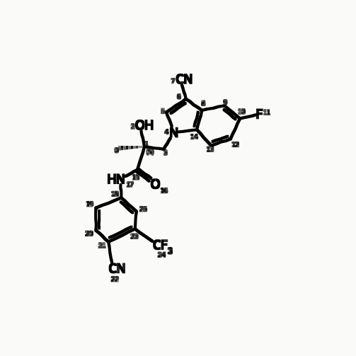 C[C@](O)(Cn1cc(C#N)c2cc(F)ccc21)C(=O)Nc1ccc(C#N)c(C(F)(F)F)c1